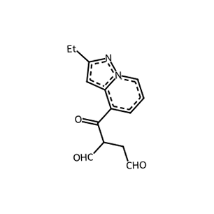 CCc1cc2c(C(=O)C(C=O)CC=O)cccn2n1